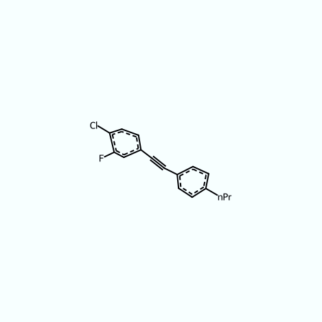 CCCc1ccc(C#Cc2ccc(Cl)c(F)c2)cc1